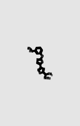 CC(=O)NC(C)c1nc(-c2cnc(Oc3cccc(NC(C)C)c3)s2)no1